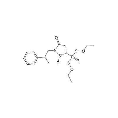 CCOSP(=S)(SOCC)C1CC(=O)N(CC(C)c2ccccc2)[S+]1[O-]